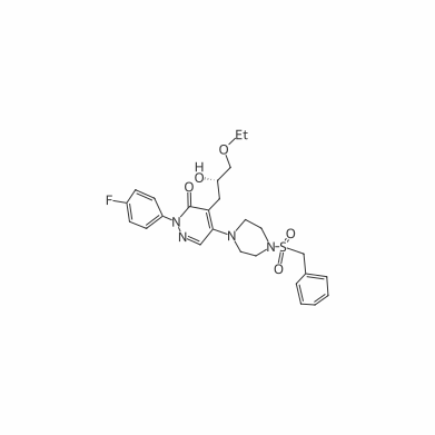 CCOC[C@@H](O)Cc1c(N2CCN(S(=O)(=O)Cc3ccccc3)CC2)cnn(-c2ccc(F)cc2)c1=O